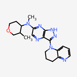 CC1COCCC1N(C)c1cnc2c(N3CCCc4ncccc43)n[nH]c2n1